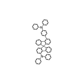 c1ccc(N(c2ccccc2)c2ccc(-c3cccc4c3-c3ccccc3C43c4ccccc4-c4c(N(c5ccccc5)c5ccccc5)cccc43)cc2)cc1